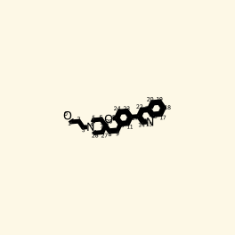 O=CCCN1CCC2(C=Cc3cc(-c4cnc5ccccc5c4)ccc3O2)CC1